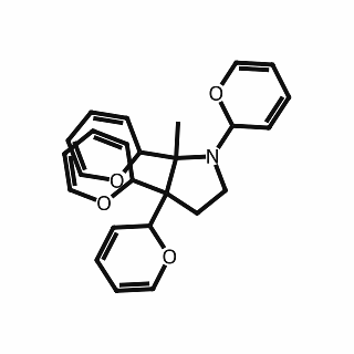 CC1(C2C=CC=CO2)N(C2C=CC=CO2)CCC1(C1C=CC=CO1)C1C=CC=CO1